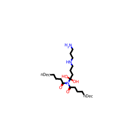 CCCCCCCCCCCCCC(=O)N(C(=O)CCCCCCCCCCCCC)C(O)(O)CCCNCCCN